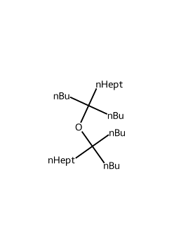 CCCCCCCC(CCCC)(CCCC)OC(CCCC)(CCCC)CCCCCCC